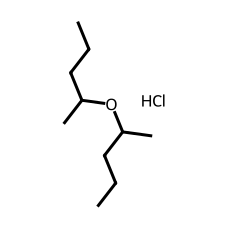 CCCC(C)OC(C)CCC.Cl